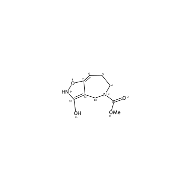 COC(=O)N1CCC=C2ONC(O)=C2C1